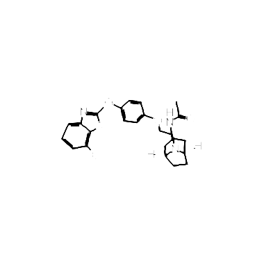 CC(=O)NC1C[C@H]2CC[C@@H](C1)N2CCOc1ccc(Oc2nc3cccc(Cl)c3s2)cc1